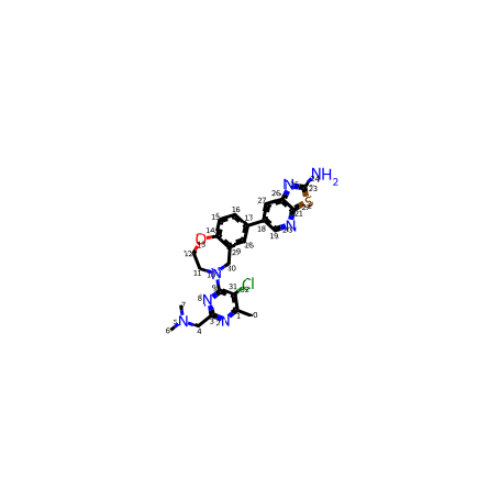 Cc1nc(CN(C)C)nc(N2CCOc3ccc(-c4cnc5sc(N)nc5c4)cc3C2)c1Cl